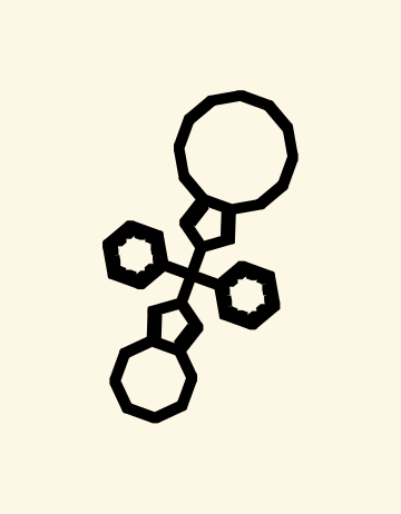 C1=C2CCCCCCCCCCC2=CC1C(c1ccccc1)(c1ccccc1)C1C=C2CCCCCCC2=C1